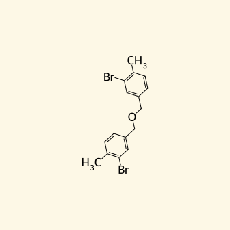 Cc1ccc(COCc2ccc(C)c(Br)c2)cc1Br